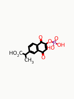 CC(C(=O)O)c1ccc2c(c1)C(=O)C=C(OP(=O)(O)O)C2=O